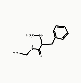 COCNC(=O)C(Cc1ccccc1)NC(=O)O